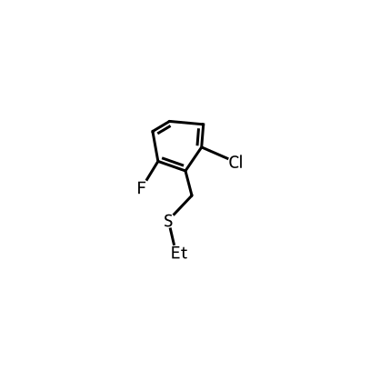 CCSCc1c(F)cccc1Cl